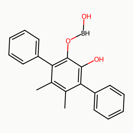 Cc1c(C)c(-c2ccccc2)c(OBO)c(O)c1-c1ccccc1